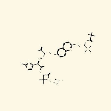 CC1(C)[C@H](NC(=O)/C(=N\O[C@@H](COc2ccc3nc(NC[C@H](OC(=O)C(F)(F)F)[N+](C)(C)C)ccc3c2)C(=O)O)c2csc(N)n2)C(=O)N1OS(=O)(=O)O